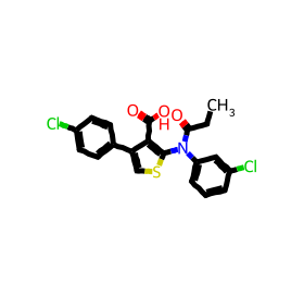 CCC(=O)N(c1cccc(Cl)c1)c1scc(-c2ccc(Cl)cc2)c1C(=O)O